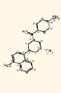 C[C@@H]1CC(c2ccc(C#N)c3ncccc23)CN(C(=O)C2CCN(C)CC2)C1